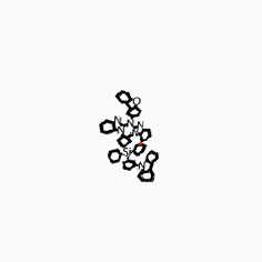 c1ccc([Si](c2ccccc2)(c2cccc(-n3c4ccccc4c4ccccc43)c2)c2ccc3c(c2)n2c4ccccc4nc2n(-c2ccc4oc5ccccc5c4c2)c2nc4ccccc4n32)cc1